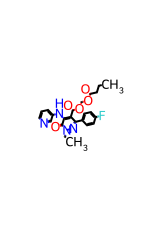 CCCC(=O)OCOC(=O)c1c(-c2ccc(F)cc2)nn(CC)c(=O)c1Nc1cccnc1